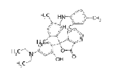 CCN(CC)c1ccc(C2(c3cc(Nc4ccc(C)cc4C)c(C)cc3C)OC(=O)c3c#cccc32)c(O)c1